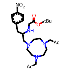 CC(=O)CN1CCN(CC(C)=O)CCN(CC(Cc2ccc([N+](=O)[O-])cc2)NCC(=O)OC(C)(C)C)CC1